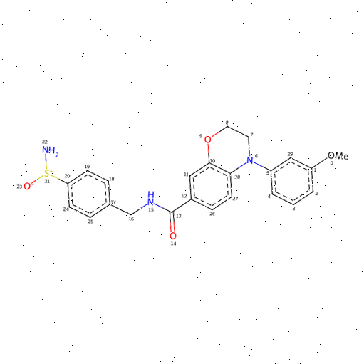 COc1cccc(N2CCOc3cc(C(=O)NCc4ccc([S+](N)[O-])cc4)ccc32)c1